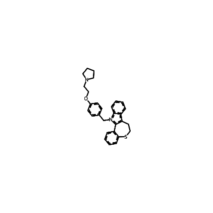 c1ccc2c(c1)SCCc1c-2n(Cc2ccc(OCCN3CCCC3)cc2)c2ccccc12